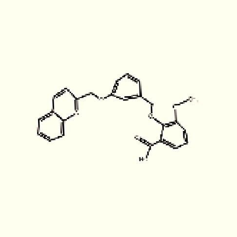 COc1cccc(C(=O)O)c1OCc1cccc(OCc2ccc3ccccc3n2)c1